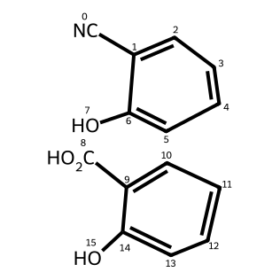 N#Cc1ccccc1O.O=C(O)c1ccccc1O